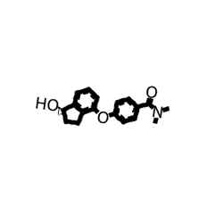 CN(C)C(=O)c1ccc(Oc2cccc3c2CC[C@@H]3O)cc1